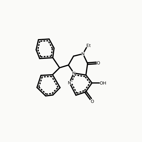 CCN1CC(C(c2ccccc2)c2ccccc2)n2ncc(=O)c(O)c2C1=O